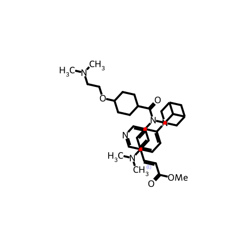 COC(=O)/C=C/c1cncc(N(CC2C3CC2CN(c2ccc(N(C)C)cc2)C3)C(=O)C2CCC(OCCN(C)C)CC2)c1